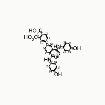 O=C(O)c1ccc(-c2ccc(C(=O)Nc3ccc(O)cc3)c(C(=O)Nc3ccc(O)cc3)c2)cc1C(=O)O